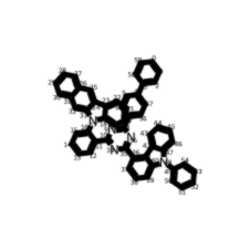 c1ccc(-c2ccc(-c3nc(-c4ccccc4-n4c5ccccc5c5cc6ccccc6cc54)nc(-c4cccc5c4c4ccccc4n5-c4ccccc4)n3)cc2)cc1